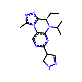 CC[C@@H]1c2nnc(C)n2-c2cnc(C3C=NNC3)nc2N1C(C)C